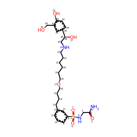 NC(=O)CNS(=O)(=O)c1cccc(CCCCOCCCCCCNC[C@H](O)c2ccc(O)c(CO)c2)c1